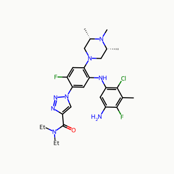 CCN(CC)C(=O)c1cn(-c2cc(Nc3cc(N)c(F)c(C)c3Cl)c(N3C[C@@H](C)N(C)[C@@H](C)C3)cc2F)nn1